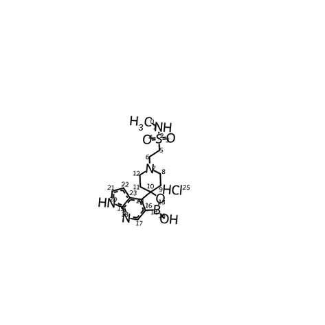 CNS(=O)(=O)CCN1CCC2(CC1)OB(O)c1cnc3[nH]ccc3c12.Cl